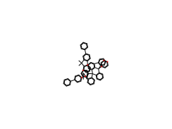 CC1(C)c2cc(-c3ccccc3)ccc2-c2ccc(N(c3ccc(-c4ccccc4)cc3)c3ccccc3C3(c4ccccc4)c4ccccc4C4(c5ccccc5)c5ccccc5-c5cccc3c54)cc21